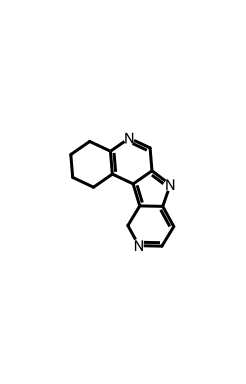 C1=NCC2=c3c4c(ncc3=NC2=C1)CCCC4